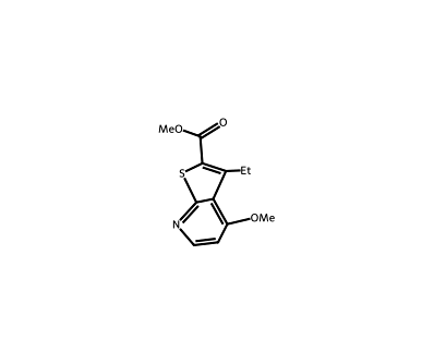 CCc1c(C(=O)OC)sc2nccc(OC)c12